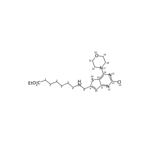 CCOC(=O)CCCCCCNCc1cc2nc(Cl)nc(N3CCOCC3)c2s1